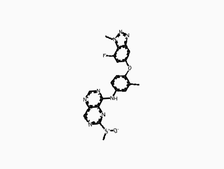 Cc1cc(Nc2ncnc3cnc([S+](C)[O-])nc23)ccc1Oc1cc(F)c2c(c1)nnn2C